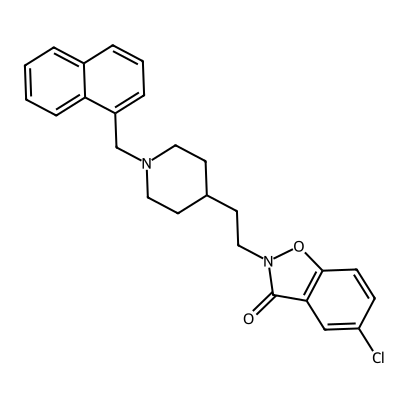 O=c1c2cc(Cl)ccc2on1CCC1CCN(Cc2cccc3ccccc23)CC1